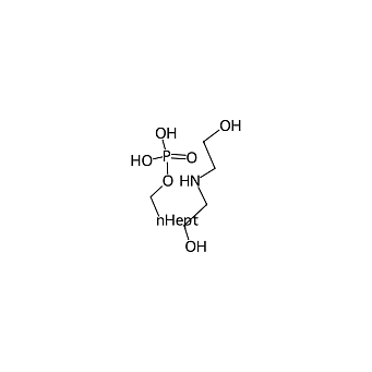 CCCCCCCCOP(=O)(O)O.OCCNCCO